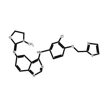 CN1CCOC1=Nc1ccc2ncnc(Nc3ccc(OCc4nccs4)c(Cl)c3)c2c1